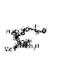 CNCC(=O)Nc1cc(COC(=O)N(CCS(C)(=O)=O)COc2cccc(C(=O)N3CCC(CCCCNC(=O)/C=C/c4cccnc4)CC3)c2)ccc1O[C@@H]1O[C@H](C(=O)O)[C@@H](O)[C@H](O)[C@H]1O